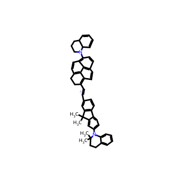 CC1(C)c2cc(/C=C/C3=c4ccc5ccc(N6CCCC7C=CC=CC76)c6ccc(c4c56)CC3)ccc2-c2ccc(N3c4ccccc4CCC3(C)C)cc21